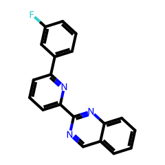 Fc1cccc(-c2cccc(-c3ncc4ccccc4n3)n2)c1